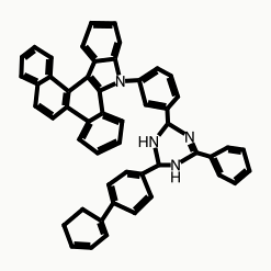 C1=CCCC(c2ccc(C3NC(c4ccccc4)=NC(c4cccc(-n5c6ccccc6c6c7c8ccccc8ccc7c7ccccc7c65)c4)N3)cc2)=C1